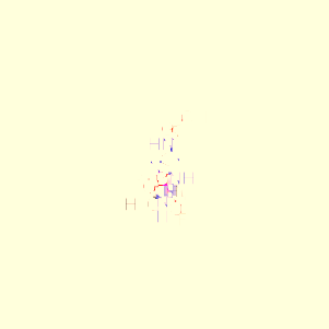 CC(C)(CO)Nc1nc(NC(=O)c2cnc(NC[S+]([O-])CCO)cc2N2CCC3(CC2)CC3)ccc1OCF